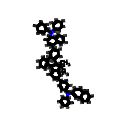 CC1(C)c2cc(-c3ccc(N(c4ccccc4)c4ccc5ccccc5c4)cc3)ccc2-c2c1c1ccc(-c3ccc(N(c4ccccc4)c4ccccc4)c4ccccc34)cc1c1ccccc21